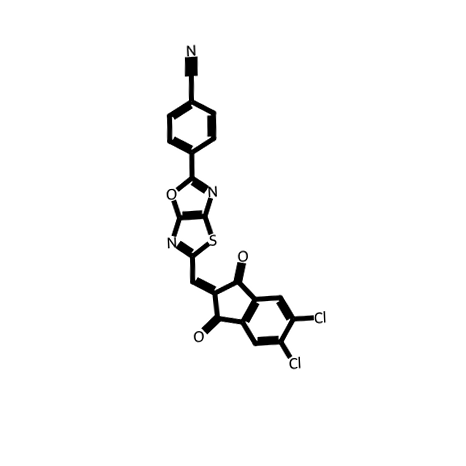 N#Cc1ccc(-c2nc3sc(C=C4C(=O)c5cc(Cl)c(Cl)cc5C4=O)nc3o2)cc1